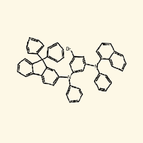 Brc1cc(N(c2ccccc2)c2ccc3c(c2)C(c2ccccc2)(c2ccccc2)c2ccccc2-3)cc(N(c2ccccc2)c2cccc3ccccc23)c1